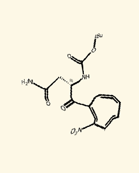 CC(C)(C)OC(=O)N[C@@H](CC(N)=O)C(=O)c1ccc[c]c1[N+](=O)[O-]